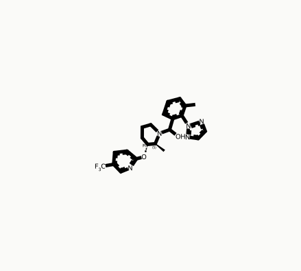 Cc1cccc(C(O)N2CCC[C@@H](Oc3ccc(C(F)(F)F)cn3)[C@@H]2C)c1-n1nccn1